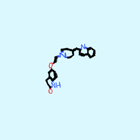 O=C1CCc2cc(OCCN3CCC(=Cc4ccc5ccccc5n4)CC3)ccc2N1